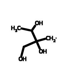 [CH2]C(O)(CO)C(C)O